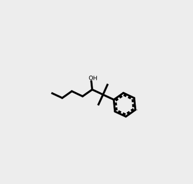 CCCCC(O)C(C)(C)c1cc[c]cc1